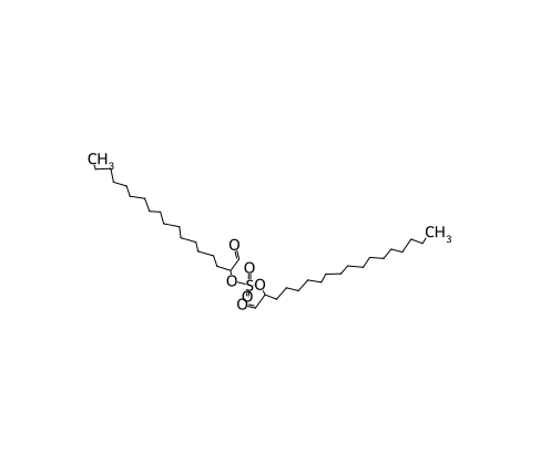 CCCCCCCCCCCCCCCCC(C=O)OS(=O)(=O)OC(C=O)CCCCCCCCCCCCCCCC